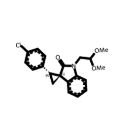 COC(CN1C(=O)[C@]2(C[C@@H]2c2ccc(Cl)cc2)c2ccccc21)OC